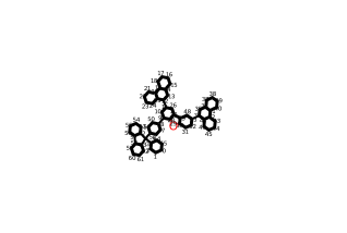 c1ccc(C2(c3ccc(-c4cc(-c5cc6ccccc6c6ccccc56)cc5c4oc4ccc(-c6cc7ccccc7c7ccccc67)cc45)cc3)c3ccccc3-c3ccccc32)cc1